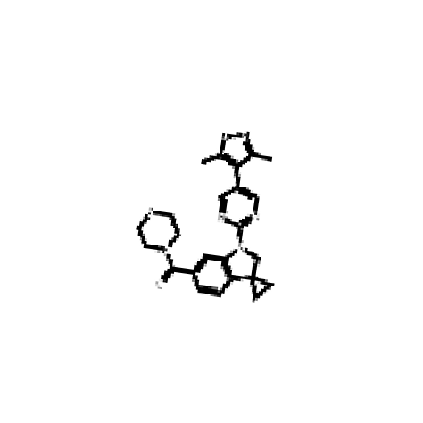 Cc1noc(C)c1-c1cnc(N2CC3(CC3)c3ccc(C(=O)N4CCOCC4)cc32)nc1